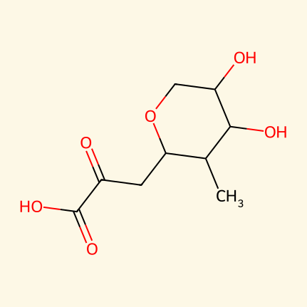 CC1C(CC(=O)C(=O)O)OCC(O)C1O